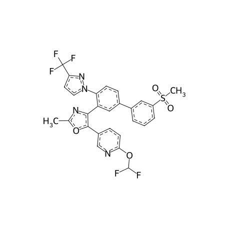 Cc1nc(-c2cc(-c3cccc(S(C)(=O)=O)c3)ccc2-n2ccc(C(F)(F)F)n2)c(-c2ccc(OC(F)F)nc2)o1